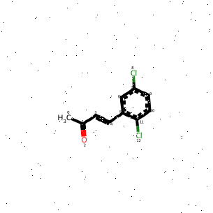 CC(=O)C=Cc1cc(Cl)ccc1Cl